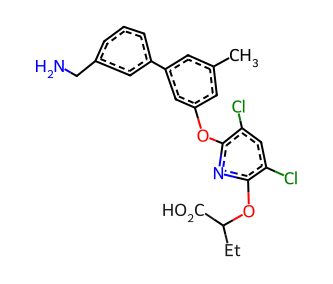 CCC(Oc1nc(Oc2cc(C)cc(-c3cccc(CN)c3)c2)c(Cl)cc1Cl)C(=O)O